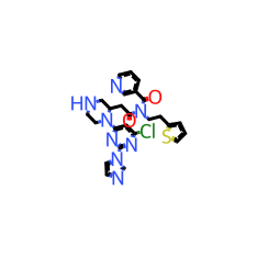 O=C(CC1CNCCN1c1cc(Cl)nc(-n2ccnc2)n1)N(CCc1cccs1)C(=O)c1cccnc1